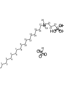 CCCCCCCCCCCCCCCCCC[N+](C)(C)CCC[Si](O)(O)O.CS(=O)(=O)[O-]